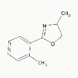 Cc1ccccc1C1=NC(C)CO1